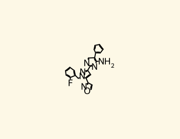 Nc1nc(-c2cc(-c3ccon3)n(Cc3ccccc3F)n2)ncc1-c1ccccc1